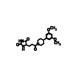 COc1cc(OC)cc(C2CCN(C(=O)CCC3NC(=O)NC3=O)CC2)c1